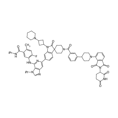 Cc1cc(F)c(Nc2nc(-c3ccc4c(c3)N(C3CC(N5CCCCC5)C3)C(=O)C43CCN(C(=O)c4cccc(C5CCN(c6cccc7c6C(=O)N(C6CCC(=O)NC6=O)C7=O)CC5)c4)CC3)cc3ncn(C(C)C)c23)cc1C(=O)NC(C)C